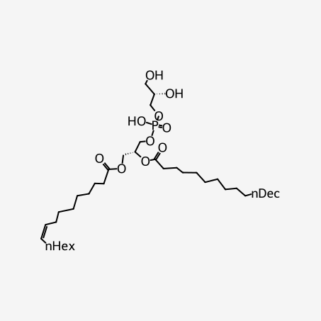 CCCCCC/C=C\CCCCCCCC(=O)OC[C@H](COP(=O)(O)OC[C@@H](O)CO)OC(=O)CCCCCCCCCCCCCCCCCCC